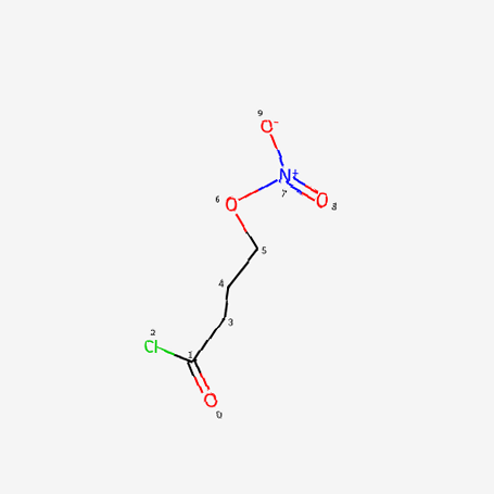 O=C(Cl)CCCO[N+](=O)[O-]